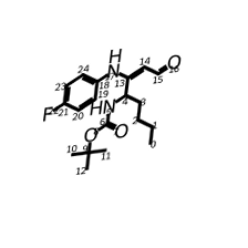 CCCCC(NC(=O)OC(C)(C)C)C(=CC=O)Nc1ccc(F)cc1